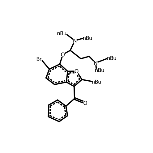 CCCCc1oc2c(OC(CCN(CCCC)CCCC)N(CCCC)CCCC)c(Br)ccc2c1C(=O)c1ccccc1